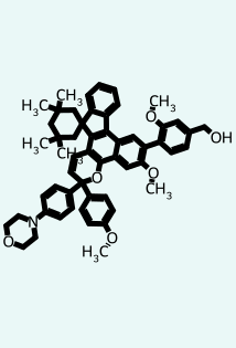 COc1ccc(C2(c3ccc(N4CCOCC4)cc3)C=Cc3c4c(c5cc(-c6ccc(CO)cc6OC)c(OC)cc5c3O2)-c2ccccc2C42CC(C)(C)CC(C)(C)C2)cc1